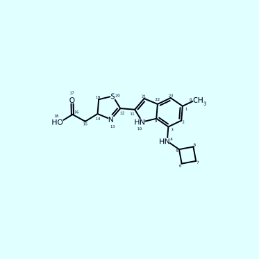 Cc1cc(NC2CCC2)c2[nH]c(C3=NC(CC(=O)O)CS3)cc2c1